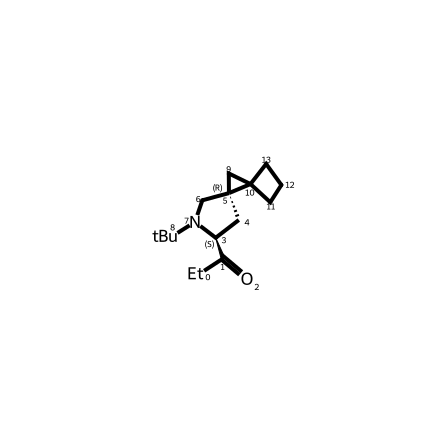 CCC(=O)[C@@H]1C[C@]2(CN1C(C)(C)C)CC21CCC1